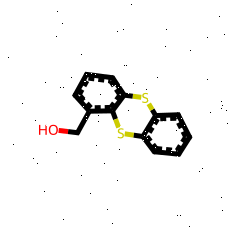 OCc1cccc2c1Sc1ccccc1S2